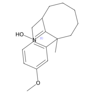 COc1ccc2c(c1)C1(C)CCCCCC(C2)/C1=N\O